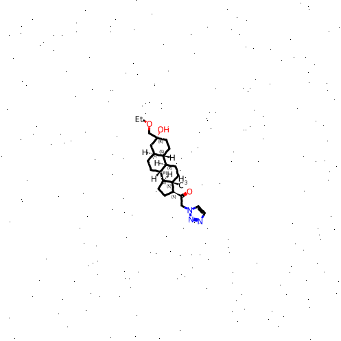 CCOC[C@@]1(O)CC[C@H]2[C@@H](CC[C@@H]3[C@@H]2CC[C@]2(C)[C@@H](C(=O)Cn4ccnn4)CC[C@@H]32)C1